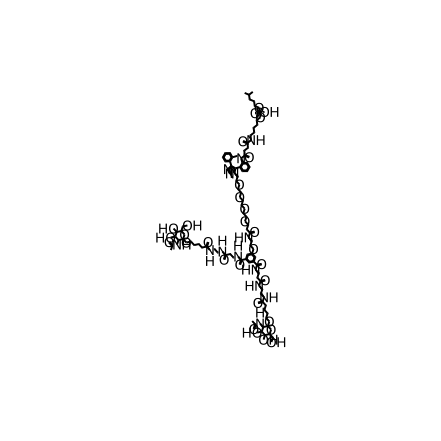 CC(=O)NC1C(OCCCCC(=O)NCCNC(=O)CCNC(=O)c2cc(OCCNC(=O)CCOCCOCCOCCOCCn3nnc4c3-c3ccccc3N(C(=O)CCC(=O)NCCCCCOP(=O)(O)OCCCC(C)C)Cc3ccccc3-4)cc(C(=O)NCCC(=O)NCCNC(=O)CCCCOC3OC(CO)C(O)C(O)C3NC(C)=O)c2)OC(CO)C(O)C1O